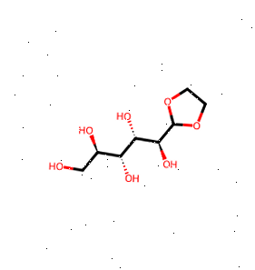 OC[C@@H](O)[C@@H](O)[C@H](O)[C@H](O)C1OCCO1